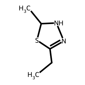 CCC1=NNC(C)S1